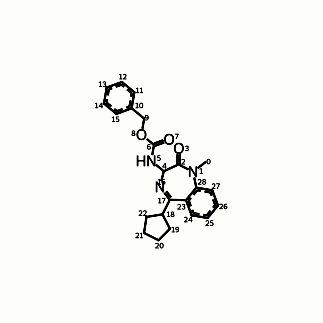 CN1C(=O)C(NC(=O)OCc2ccccc2)N=C(C2CCCC2)c2ccccc21